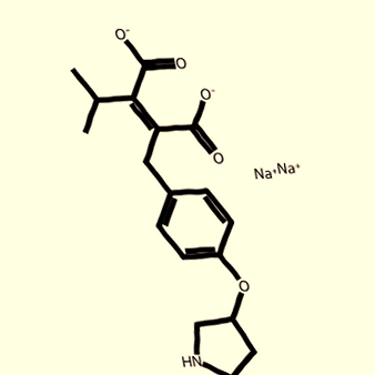 CC(C)/C(C(=O)[O-])=C(\Cc1ccc(OC2CCNC2)cc1)C(=O)[O-].[Na+].[Na+]